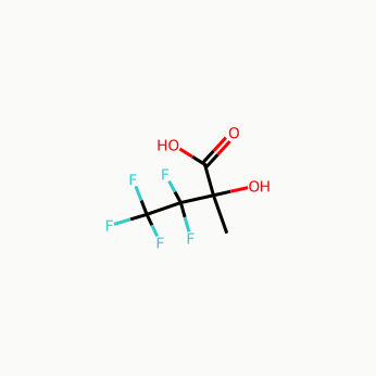 CC(O)(C(=O)O)C(F)(F)C(F)(F)F